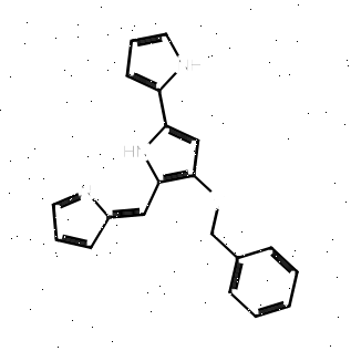 C1=C/C(=C/c2[nH]c(-c3ccc[nH]3)cc2OCc2ccccc2)N=C1